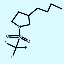 CCCCC1CCN(S(=O)(=O)C(F)(F)F)C1